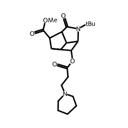 COC(=O)C1C2CC3C1C(=O)N(C(C)(C)C)C3C2OC(=O)CCN1CCCCC1